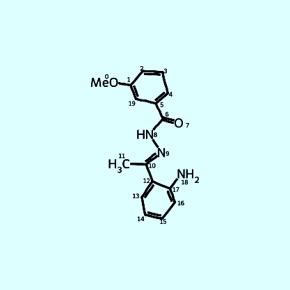 COc1cccc(C(=O)N/N=C(\C)c2ccccc2N)c1